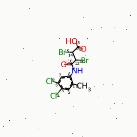 Cc1cc(Cl)c(Cl)cc1NC(=O)C(Br)C(Br)C(=O)O